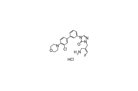 Cl.NC/C(=C\F)Cn1ncn(-c2cccc(-c3ccc(N4CCOCC4)c(Cl)c3)c2)c1=O